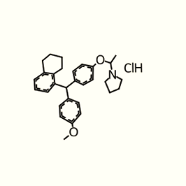 COc1ccc(C(c2ccc(OC(C)N3CCCC3)cc2)c2cccc3c2CCCC3)cc1.Cl